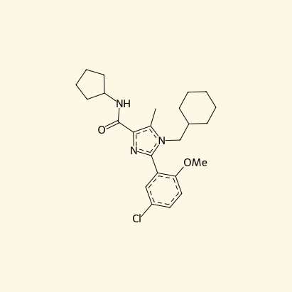 COc1ccc(Cl)cc1-c1nc(C(=O)NC2CCCC2)c(C)n1CC1CCCCC1